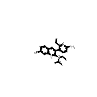 CCc1nc(N)ccc1-c1cc2ccc(F)cc2nc1N(CC)C(C)C